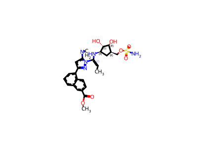 C=Nc1cc(-c2cccc3cc(C(=O)OC)ccc23)nn1/C(=C\C)N[C@@H]1C[C@H](COS(N)(=O)=O)[C@@H](O)[C@H]1O